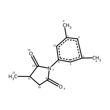 Cc1cc(C)cc(N2C(=O)CC(C)C2=O)c1